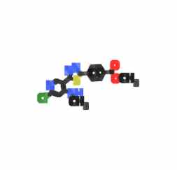 CNc1cc(Cl)ncc1-c1nnc(C23CCC(C(=O)OC)(CC2)CC3)s1